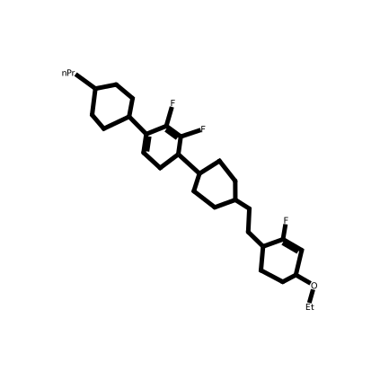 CCCC1CCC(C2=CCC(C3CCC(CCC4CCC(OCC)C=C4F)CC3)C(F)=C2F)CC1